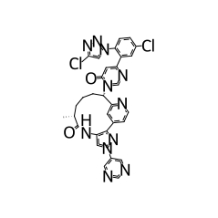 C[C@@H]1CCC[C@H](n2cnc(-c3cc(Cl)ccc3-n3cc(Cl)nn3)cc2=O)c2cc(ccn2)-c2nn(-c3cncnc3)cc2NC1=O